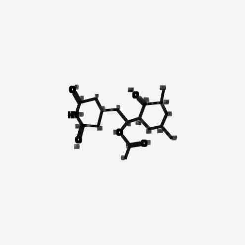 CC(=O)OC(CC1CC(=O)NC(=O)C1)C1CC(C)CC(C)C1=O